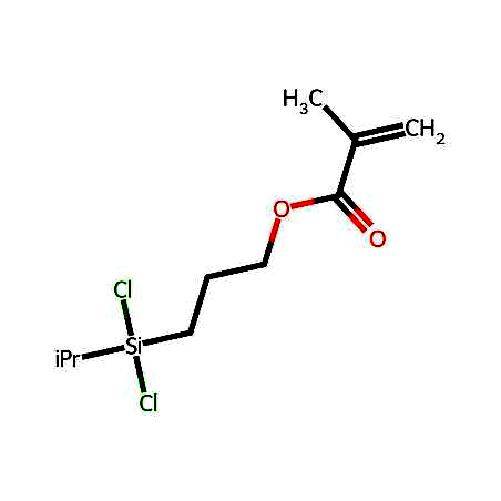 C=C(C)C(=O)OCCC[Si](Cl)(Cl)C(C)C